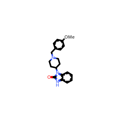 COc1ccc(CN2CCC(n3c(=O)[nH]c4ccccc43)CC2)cc1